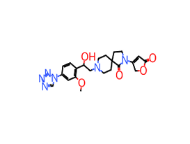 COc1cc(-n2cnnn2)ccc1C(O)CN1CCC2(CC1)CCN(C1=CC(=O)OC1)C2=O